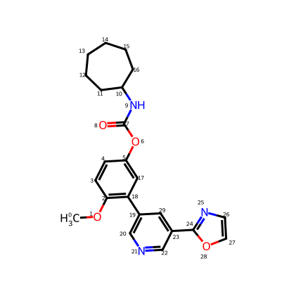 COc1ccc(OC(=O)NC2CCCCCC2)cc1-c1cncc(-c2ncco2)c1